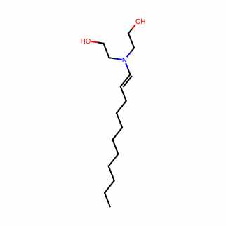 CCCCCCCCCC=CN(CCO)CCO